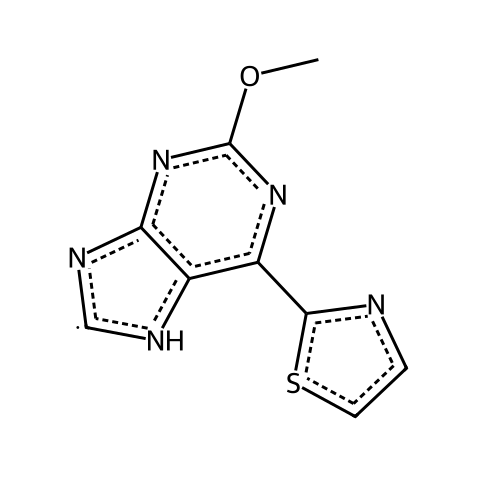 COc1nc(-c2nccs2)c2[nH][c]nc2n1